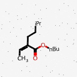 CC=C(CCC(C)C)C(=O)OCCCC